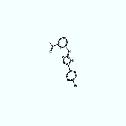 CC(=O)c1cccc(N=c2[nH]c(-c3ccc(Br)cc3)cs2)c1